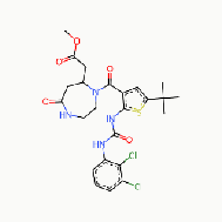 COC(=O)CC1CC(=O)NCCN1C(=O)c1cc(C(C)(C)C)sc1NC(=O)Nc1cccc(Cl)c1Cl